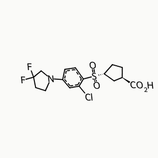 O=C(O)[C@@H]1CC[C@@H](S(=O)(=O)c2ccc(N3CCC(F)(F)C3)cc2Cl)C1